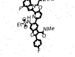 CCS(=O)(=O)Nc1cc2oc(-c3ccc(F)cc3)c(C(=O)NC)c2cc1-c1ccc2c(n1)-c1cc3c(F)cccc3n1C(CNC(C)=O)O2